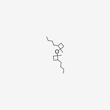 CCCCC1CCC1(C)OC1(C)CCC1CCCC